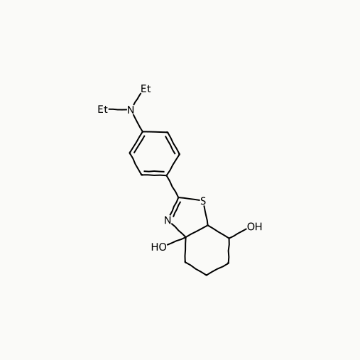 CCN(CC)c1ccc(C2=NC3(O)CCCC(O)C3S2)cc1